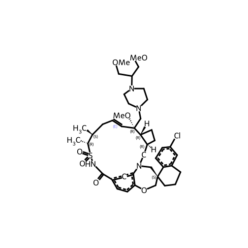 COCC(COC)N1CCN(C[C@]2(OC)/C=C/C[C@H](C)[C@@H](C)S(=O)(=O)NC(=O)c3ccc4c(c3)N(C[C@@H]3CC[C@H]32)C[C@@]2(CCCc3cc(Cl)ccc32)CO4)CC1